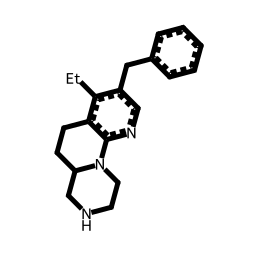 CCc1c(Cc2ccccc2)cnc2c1CCC1CNCCN21